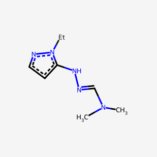 CCn1nccc1NN=CN(C)C